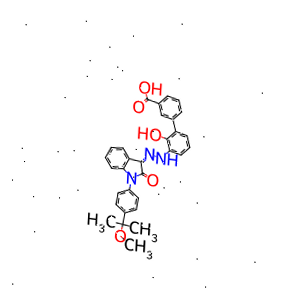 COC(C)(C)c1ccc(N2C(=O)/C(=N\Nc3cccc(-c4cccc(C(=O)O)c4)c3O)c3ccccc32)cc1